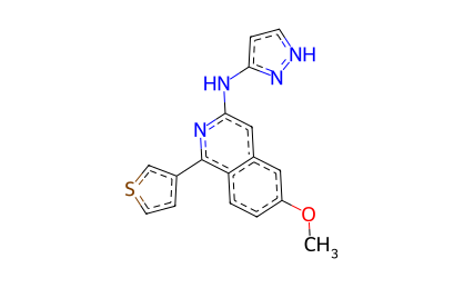 COc1ccc2c(-c3ccsc3)nc(Nc3cc[nH]n3)cc2c1